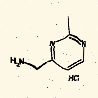 Cc1nccc(CN)n1.Cl